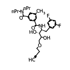 C#CCCOCC(O)[C@H](O)[C@H](Cc1cc(F)cc(F)c1)NC(=O)c1cc(C)cc(C(=O)N(CCC)CCC)c1